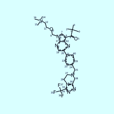 CC(C)(C)C(=O)c1cn(COCC[Si](C)(C)C)c2ncc(-c3ccc(CN4CCn5c(nnc5C(F)(F)F)C4)cc3)nc12